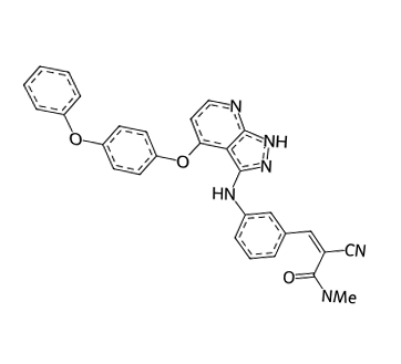 CNC(=O)C(C#N)=Cc1cccc(Nc2n[nH]c3nccc(Oc4ccc(Oc5ccccc5)cc4)c23)c1